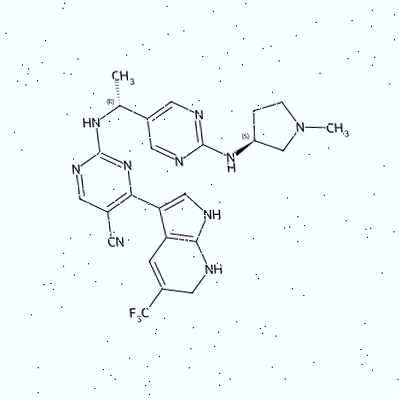 C[C@@H](Nc1ncc(C#N)c(-c2c[nH]c3c2C=C(C(F)(F)F)CN3)n1)c1cnc(N[C@H]2CCN(C)C2)nc1